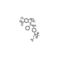 CN(C)CCN(c1ccc(N/C(=C2\C(=O)Nc3cc(Cl)c([N+](=O)[O-])cc32)c2ccccc2)cc1)S(C)(=O)=O